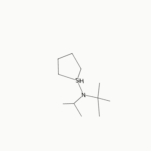 CC(C)N([SiH]1CCCC1)C(C)(C)C